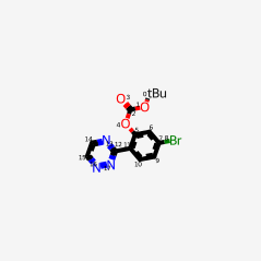 CC(C)(C)OC(=O)Oc1cc(Br)ccc1-c1nc[c]nn1